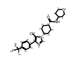 O=C(NC1CCOCC1)[C@H]1CC[C@@H](n2cnc(-c3ccc(C(F)(F)F)cc3)c2Cl)CC1